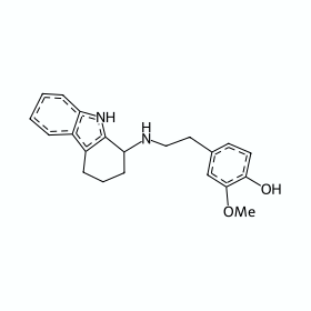 COc1cc(CCNC2CCCc3c2[nH]c2ccccc32)ccc1O